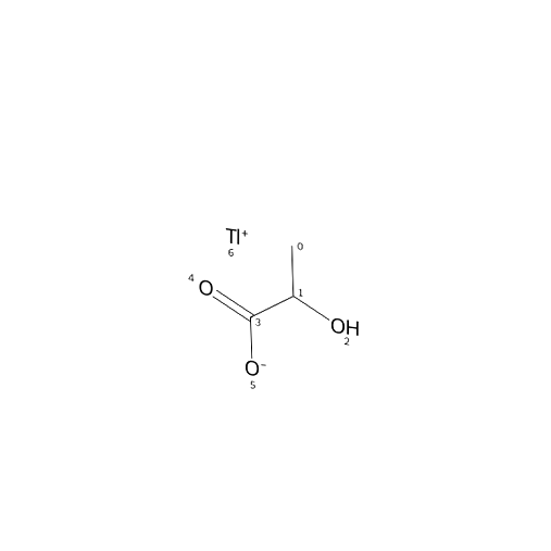 CC(O)C(=O)[O-].[Tl+]